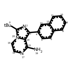 CC(C)(C)c1nc(-c2ccc3ccccc3c2)c2c(N)nccn12